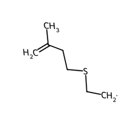 [CH2]CSCCC(=C)C